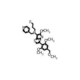 COCc1cc(OC)c(-c2csc3c(N(CCCF)Cc4ccncc4)c(OC)nn23)c(OC)c1